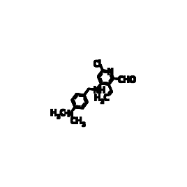 C=Cc1c(NCc2ccc(N(C)C)cc2)cc(Cl)nc1C=O